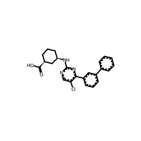 O=C(O)[C@H]1CCC[C@@H](Nc2ncc(Cl)c(-c3cccc(-c4ccccc4)c3)n2)C1